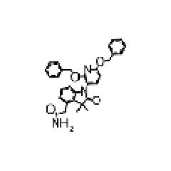 CC1(C)C(=O)N(c2ccc(OCc3ccccc3)nc2OCc2ccccc2)c2cccc(CC(N)=O)c21